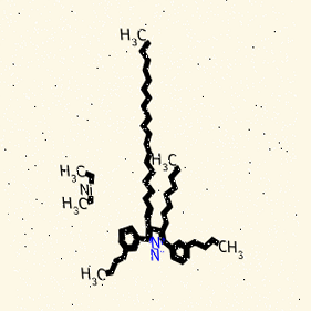 CCCCCCCCCCCCCCCCCCCC=CC1=C(c2cccc(CCCC)c2)[N+](=[N-])C(c2cccc(CCCC)c2)=C1CCCCCCCC.C[CH2][Ni][CH2]C